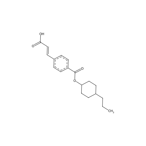 CCCC1CCC(OC(=O)c2ccc(C=CC(=O)O)cc2)CC1